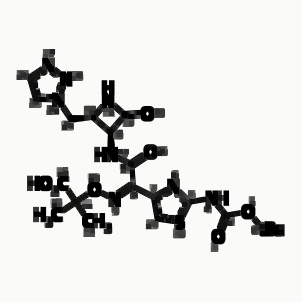 CC(C)(C)OC(=O)Nc1nc(/C(=N/OC(C)(C)C(=O)O)C(=O)N[C@@H]2C(=O)N[C@@H]2Cn2ccnn2)cs1